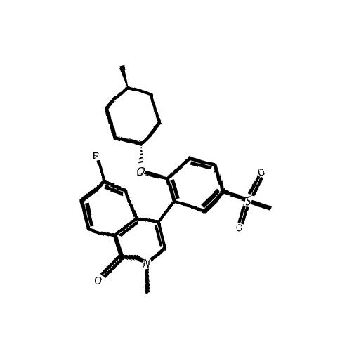 Cn1cc(-c2cc(S(C)(=O)=O)ccc2O[C@H]2CC[C@H](C)CC2)c2cc(F)ccc2c1=O